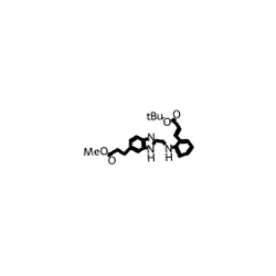 COC(=O)CCc1ccc2nc(CNc3ccccc3C=CC(=O)OC(C)(C)C)[nH]c2c1